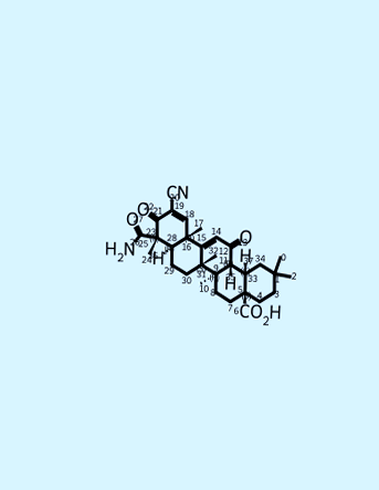 CC1(C)CC[C@]2(C(=O)O)CC[C@]3(C)[C@H](C(=O)C=C4[C@@]5(C)C=C(C#N)C(=O)[C@@](C)(C(N)=O)[C@@H]5CC[C@]43C)[C@@H]2C1